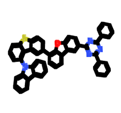 c1ccc(-c2nc(-c3ccccc3)nc(-c3ccc4oc5c(-c6ccc7sc8cccc(-n9c%10ccccc%10c%10ccccc%109)c8c7c6)cccc5c4c3)n2)cc1